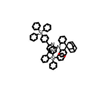 c1ccc([Si](c2ccccc2)(c2ccccc2)c2ccc(-c3cc(-c4ccccc4[Si](c4ccccc4)(c4ccccc4)c4ccccc4)nc(N4c5ccccc5C5(c6ccccc64)C4CC6CC(C4)CC5C6)n3)cc2)cc1